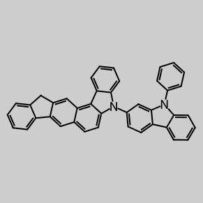 c1ccc(-n2c3ccccc3c3ccc(-n4c5ccccc5c5c6cc7c(cc6ccc54)-c4ccccc4C7)cc32)cc1